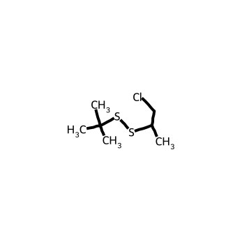 CC(CCl)SSC(C)(C)C